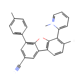 Cc1ccc(-c2cc(C#N)cc3c2oc2c(-c4cccc[n+]4C)c(C)ccc23)cc1